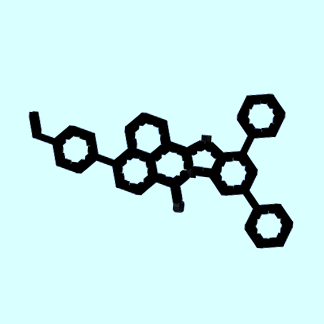 C=Cc1ccc(-c2ccc3c(=O)n4c5cc(-c6ccccc6)cc(-c6ccccc6)c5nc4c4cccc2c34)cc1